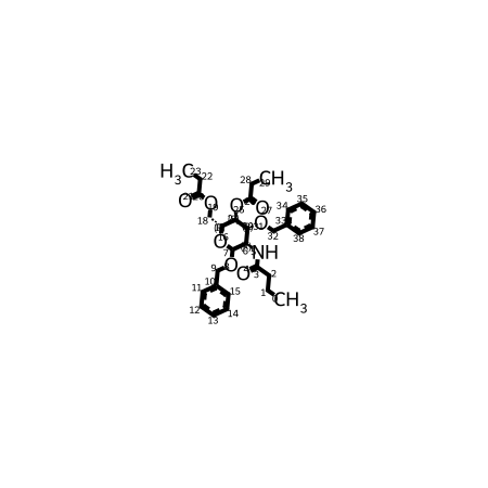 CCCC(=O)N[C@H]1C(OCc2ccccc2)O[C@H](COC(=O)CC)[C@@H](OC(=O)CC)[C@@H]1OCc1ccccc1